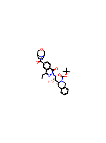 CCc1nn(C[C@@H](O)[C@@H]2Cc3ccccc3CN2C(=O)OC(C)(C)C)c(=O)c2ccc(C(=O)N3C4CCC3COC4)cc12